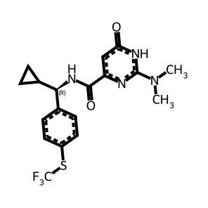 CN(C)c1nc(C(=O)N[C@@H](c2ccc(SC(F)(F)F)cc2)C2CC2)cc(=O)[nH]1